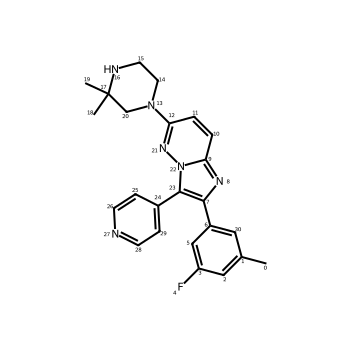 Cc1cc(F)cc(-c2nc3ccc(N4CCNC(C)(C)C4)nn3c2-c2ccncc2)c1